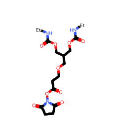 CCNC(=O)OCC(COCCC(=O)ON1C(=O)CCC1=O)COC(=O)NCC